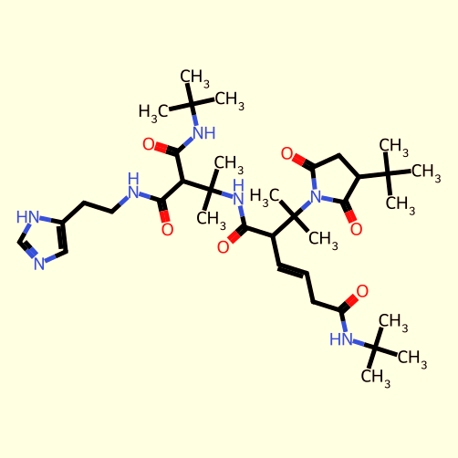 CC(C)(C)NC(=O)CC=CC(C(=O)NC(C)(C)C(C(=O)NCCc1cnc[nH]1)C(=O)NC(C)(C)C)C(C)(C)N1C(=O)CC(C(C)(C)C)C1=O